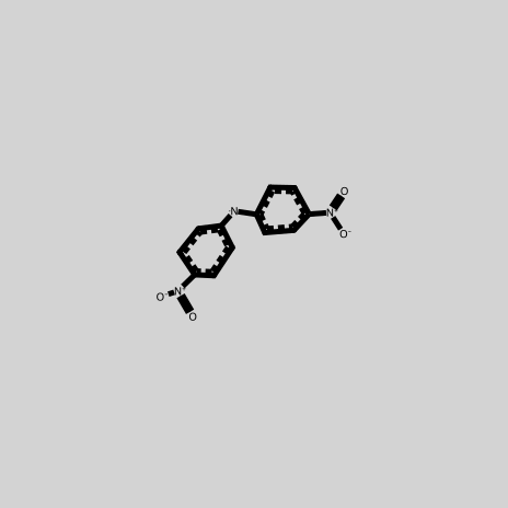 O=[N+]([O-])c1ccc([N]c2ccc([N+](=O)[O-])cc2)cc1